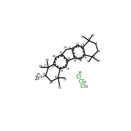 CC1(C)CCC(C)(C)c2cc3c(cc21)Cc1cc2c(cc1-3)C(C)(C)C[CH]([Zr+3])C2(C)C.[Cl-].[Cl-].[Cl-]